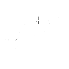 CC(C)(C)OC(=O)N[C@@H]1CC[C@@H](C(=O)Cl)OC1